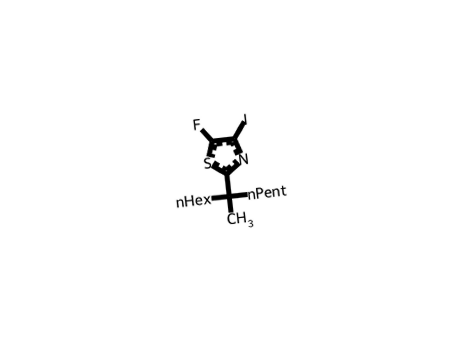 CCCCCCC(C)(CCCCC)c1nc(I)c(F)s1